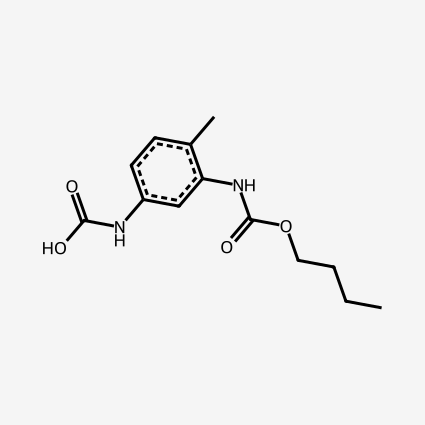 CCCCOC(=O)Nc1cc(NC(=O)O)ccc1C